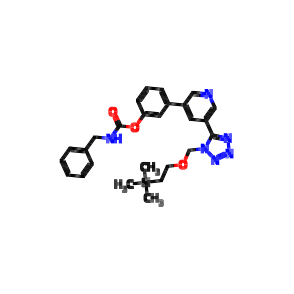 C[Si](C)(C)CCOCn1nnnc1-c1cncc(-c2cccc(OC(=O)NCc3ccccc3)c2)c1